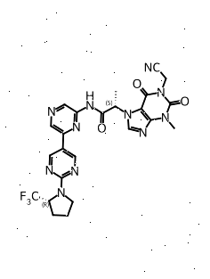 C[C@@H](C(=O)Nc1cncc(-c2cnc(N3CCC[C@@H]3C(F)(F)F)nc2)n1)n1cnc2c1c(=O)n(CC#N)c(=O)n2C